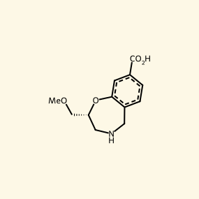 COC[C@H]1CNCc2ccc(C(=O)O)cc2O1